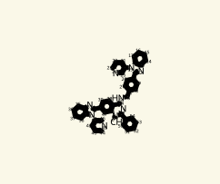 C=N/C(=N\C(NCc1ccc(-c2nc3ccccc3n2-c2cccnc2)cc1)c1ccc(-c2nc3ccccc3n2-c2cccnc2)cc1)c1ccccc1